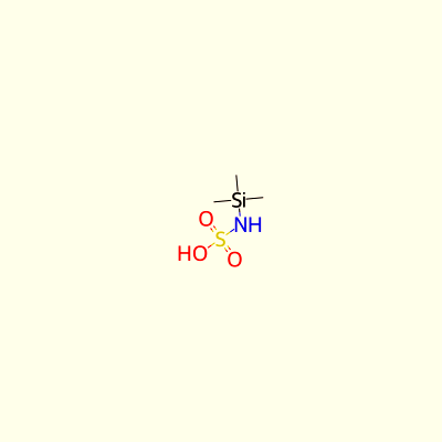 C[Si](C)(C)NS(=O)(=O)O